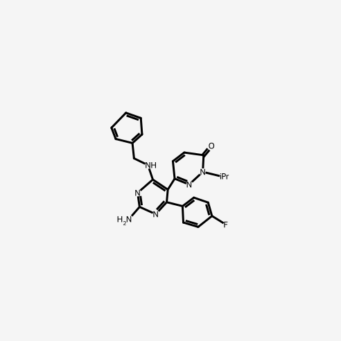 CC(C)n1nc(-c2c(NCc3ccccc3)nc(N)nc2-c2ccc(F)cc2)ccc1=O